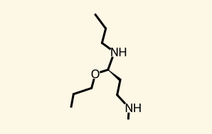 CCCN[C@@H](CCNC)OCCC